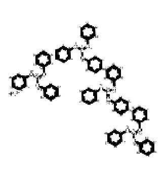 [Pt+2].c1ccc(OP(Oc2ccccc2)Oc2ccccc2)cc1.c1ccc(OP(Oc2ccccc2)Oc2ccccc2)cc1.c1ccc([O][Sn]([O]c2ccccc2)[O]c2ccccc2)cc1.c1ccc([O][Sn]([O]c2ccccc2)[O]c2ccccc2)cc1